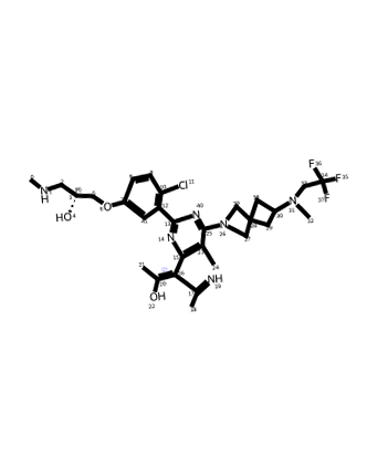 CNC[C@@H](O)COc1ccc(Cl)c(-c2nc(/C(C(C)=N)=C(\C)O)c(C)c(N3CC4(CC(N(C)CC(F)(F)F)C4)C3)n2)c1